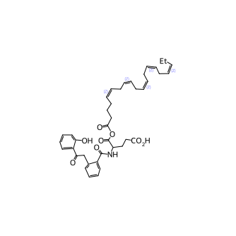 CC/C=C\C/C=C\C/C=C\C/C=C\C/C=C\CCCC(=O)OC(=O)C(CCC(=O)O)NC(=O)c1ccccc1CC(=O)c1ccccc1O